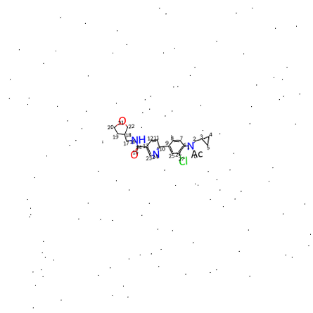 CC(=O)N(CC1CC1)c1ccc(-c2ccc(C(=O)NCC3CCOC3)cn2)cc1Cl